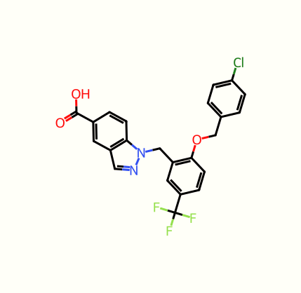 O=C(O)c1ccc2c(cnn2Cc2cc(C(F)(F)F)ccc2OCc2ccc(Cl)cc2)c1